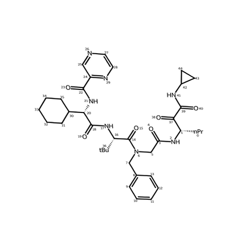 CCC[C@H](NC(=O)CN(Cc1ccccc1)C(=O)[C@@H](NC(=O)[C@@H](NC(=O)c1cnccn1)C1CCCCC1)C(C)(C)C)C(=O)C(=O)NC1CC1